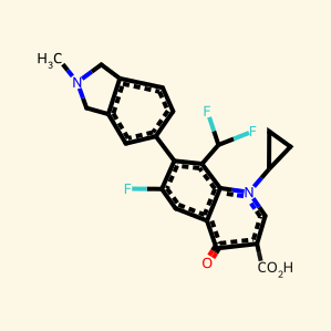 CN1Cc2ccc(-c3c(F)cc4c(=O)c(C(=O)O)cn(C5CC5)c4c3C(F)F)cc2C1